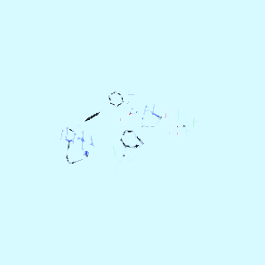 O=C(Nc1cccc(C#Cc2cnc3cccnn23)c1)N1N=C(OC(=O)C(F)(F)F)CC1c1ccc(C(F)(F)F)cc1